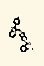 Cc1ccccc1C(=O)N1CC2CN(Cc3c(-c4ccc(Cl)cc4)nc4ccccn34)CC2C1